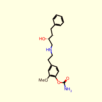 COc1cc(CCNC[C@H](O)[CH]Cc2ccccc2)ccc1OC(N)=O